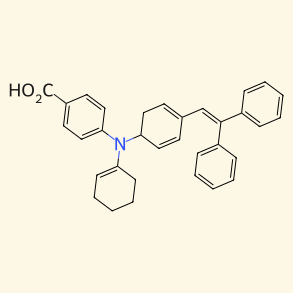 O=C(O)c1ccc(N(C2=CCCCC2)C2C=CC(C=C(c3ccccc3)c3ccccc3)=CC2)cc1